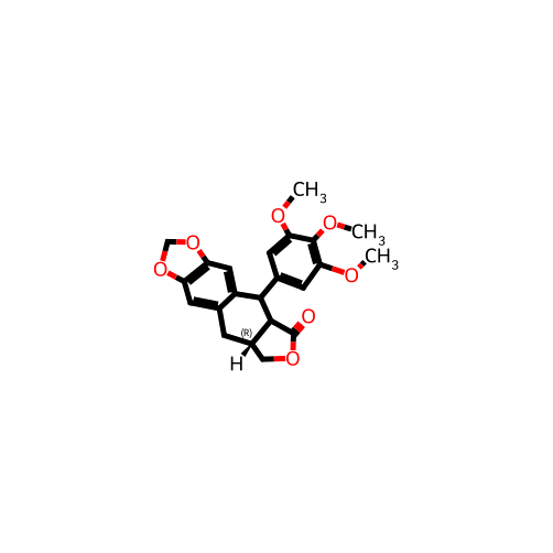 COc1cc(C2c3cc4c(cc3C[C@H]3COC(=O)C23)OCO4)cc(OC)c1OC